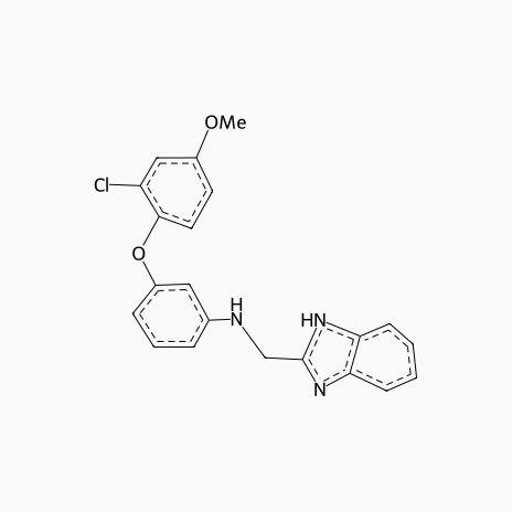 COc1ccc(Oc2cccc(NCc3nc4ccccc4[nH]3)c2)c(Cl)c1